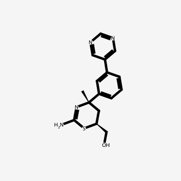 C[C@@]1(c2cccc(-c3cncnc3)c2)C[C@@H](CO)SC(N)=N1